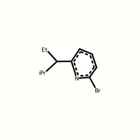 CCC(c1cccc(Br)n1)C(C)C